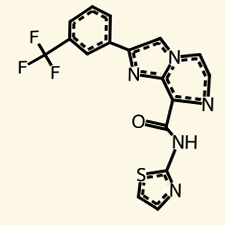 O=C(Nc1nccs1)c1nccn2cc(-c3cccc(C(F)(F)F)c3)nc12